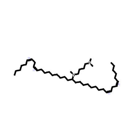 CCCCC/C=C\C/C=C\CCCCCCCCC(CCCCCCCC/C=C\C/C=C\CCCCC)N(C)CCCCN(C)C